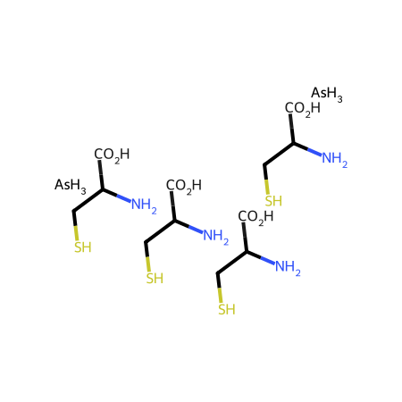 NC(CS)C(=O)O.NC(CS)C(=O)O.NC(CS)C(=O)O.NC(CS)C(=O)O.[AsH3].[AsH3]